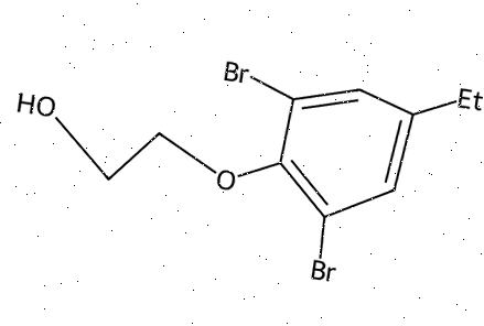 CCc1cc(Br)c(OCCO)c(Br)c1